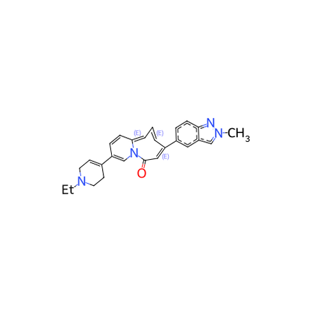 CCN1CC=C(C2=CN3C(=O)\C=C(c4ccc5nn(C)cc5c4)/C=C/C=C/3C=C2)CC1